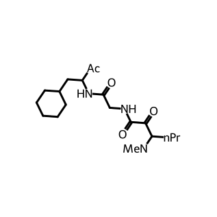 CCCC(NC)C(=O)C(=O)NCC(=O)NC(CC1CCCCC1)C(C)=O